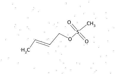 [CH2]C=CCOS(C)(=O)=O